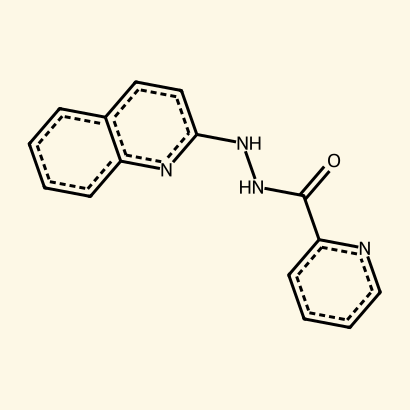 O=C(NNc1ccc2ccccc2n1)c1ccccn1